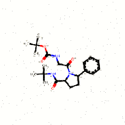 CC(C)(C)NC(=O)C1CCC(c2ccccc2)N1C(=O)CNC(=O)OC(C)(C)C